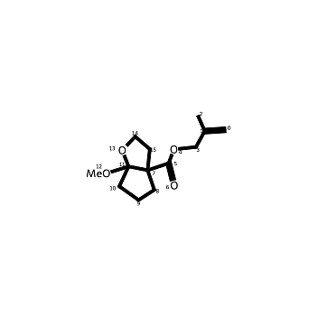 C=C(C)COC(=O)C12CCCC1(OC)OCC2